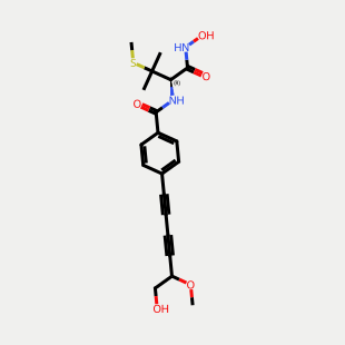 COC(C#CC#Cc1ccc(C(=O)N[C@H](C(=O)NO)C(C)(C)SC)cc1)CO